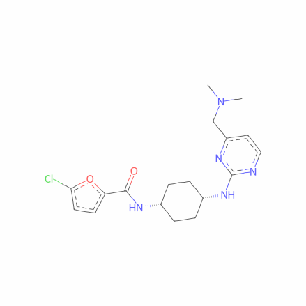 CN(C)Cc1ccnc(N[C@H]2CC[C@@H](NC(=O)c3ccc(Cl)o3)CC2)n1